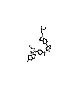 CCN(CC)CCn1ccc2cc(-c3cc(Nc4ccc(N(OC=O)S(=O)(=O)c5ccc(C)cc5F)cc4)ncn3)ccc21